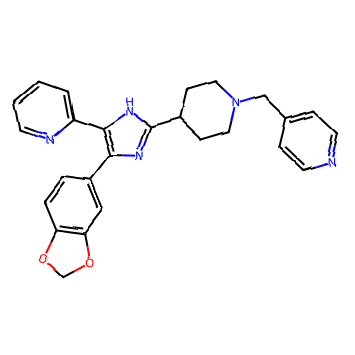 c1ccc(-c2[nH]c(C3CCN(Cc4ccncc4)CC3)nc2-c2ccc3c(c2)OCO3)nc1